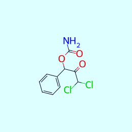 NC(=O)OC(C(=O)C(Cl)Cl)c1ccccc1